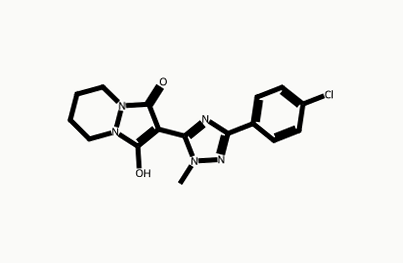 Cn1nc(-c2ccc(Cl)cc2)nc1-c1c(O)n2n(c1=O)CCCC2